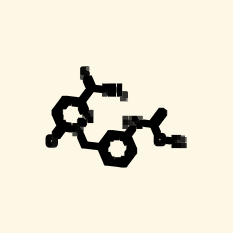 C=C(Nc1cccc(Cn2nc(C(N)=S)ccc2=O)c1)OCC